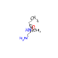 CCC[SiH](NCCCN)OC